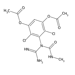 CNC(=O)N(C(=N)N)c1c(Cl)c(OC(C)=O)cc(OC(C)=O)c1Cl